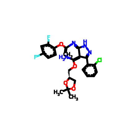 C=C(/N=C1/NN=C(c2ccccc2Cl)/C1=C(/N)OC[C@@H]1COC(C)(C)O1)Oc1ccc(F)cc1F